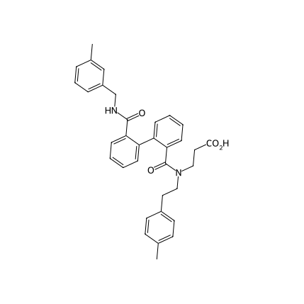 Cc1ccc(CCN(CCC(=O)O)C(=O)c2ccccc2-c2ccccc2C(=O)NCc2cccc(C)c2)cc1